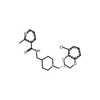 Cc1ncccc1C(=O)NCC1CCN(C[C@H]2COc3cccc(Cl)c3O2)CC1